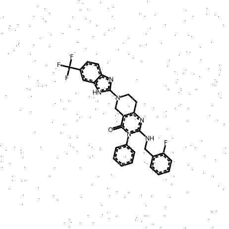 O=c1c2c(nc(NCc3ccccc3F)n1-c1ccccc1)CCN(c1nc3ccc(C(F)(F)F)cc3[nH]1)C2